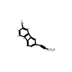 O=C(O)C#Cc1ccc2c(c1)-c1cc(Br)ccc1-2